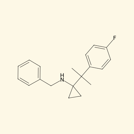 CC(C)(c1ccc(F)cc1)C1(NCc2ccccc2)CC1